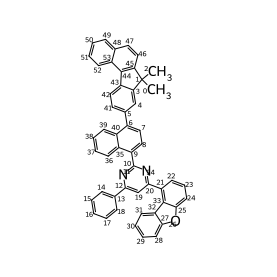 CC1(C)c2cc(-c3ccc(-c4nc(-c5ccccc5)cc(-c5cccc6oc7ccccc7c56)n4)c4ccccc34)ccc2-c2c1ccc1ccccc21